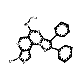 CCCCNc1nc2c(-c3ccccc3)c(-c3ccccc3)nn2c2c1cnc1c2cnn1CC